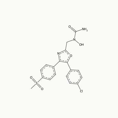 CS(=O)(=O)c1ccc(-c2nc(CN(O)C(N)=O)oc2-c2ccc(Cl)cc2)cc1